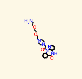 NCCOCCOCCN1CCN(CC(=O)N2c3ccccc3C(=O)Nc3cccnc32)CC1